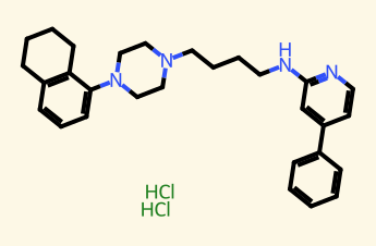 Cl.Cl.c1ccc(-c2ccnc(NCCCCN3CCN(c4cccc5c4CCCC5)CC3)c2)cc1